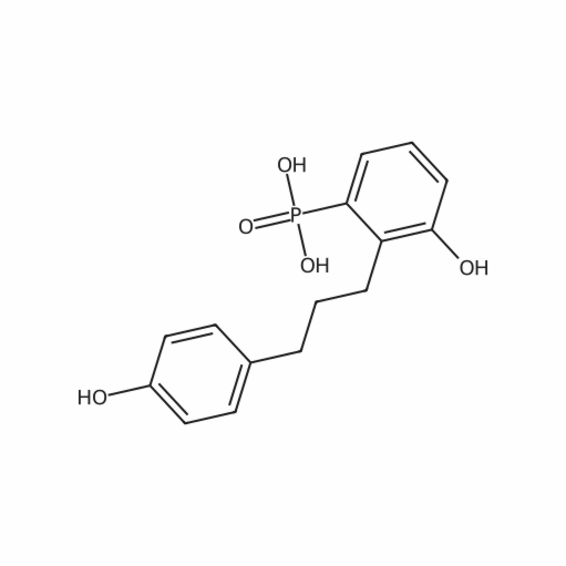 O=P(O)(O)c1cccc(O)c1CCCc1ccc(O)cc1